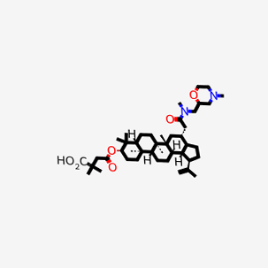 C=C(C)[C@@H]1CCC2[C@@H](CC(=O)N(C)CC3CN(C)CCO3)C[C@]3(C)[C@H](CC[C@@H]4[C@@]5(C)CC[C@H](OC(=O)CC(C)(C)C(=O)O)C(C)(C)[C@@H]5CC[C@]43C)[C@H]21